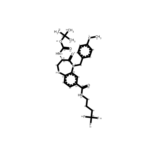 COc1ccc(CN2C(=O)[C@@H](NC(=O)OC(C)(C)C)CSc3ccc(C(=O)NCCCC(F)(F)F)cc32)cc1